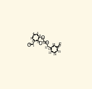 O=Cc1cccc2c1OC(OCc1cccc(F)c1)O2